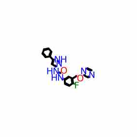 O=C(Nc1ccc(F)c(COc2cnccn2)c1)Nc1cc(-c2ccccc2)[nH]n1